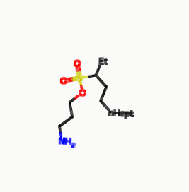 CCCCCCCCCC(CC)S(=O)(=O)OCCCN